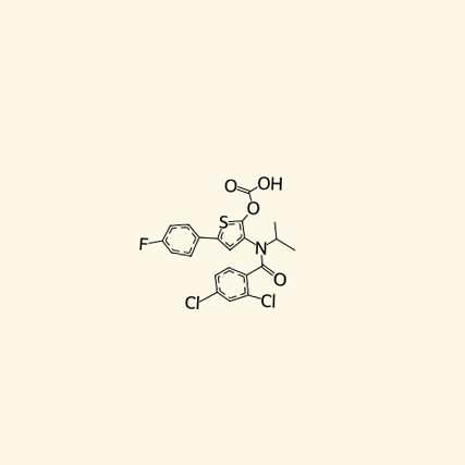 CC(C)N(C(=O)c1ccc(Cl)cc1Cl)c1cc(-c2ccc(F)cc2)sc1OC(=O)O